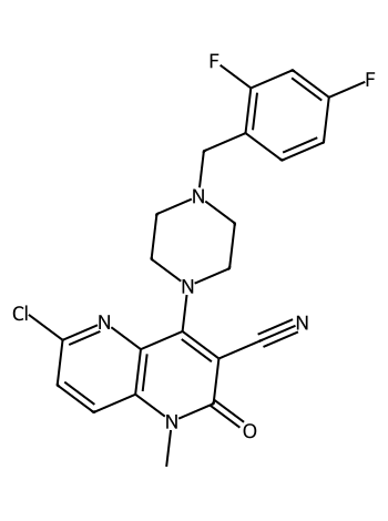 Cn1c(=O)c(C#N)c(N2CCN(Cc3ccc(F)cc3F)CC2)c2nc(Cl)ccc21